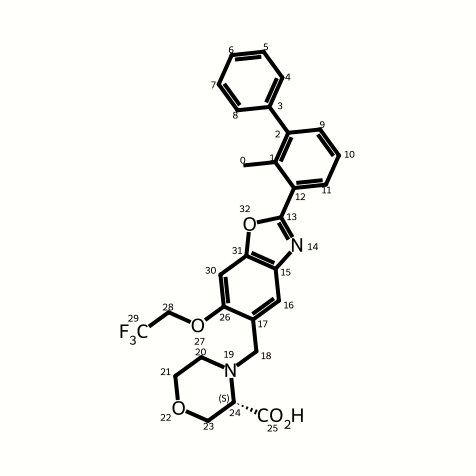 Cc1c(-c2ccccc2)cccc1-c1nc2cc(CN3CCOC[C@H]3C(=O)O)c(OCC(F)(F)F)cc2o1